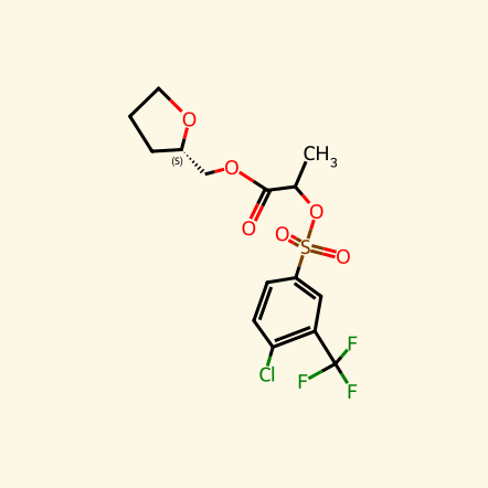 CC(OS(=O)(=O)c1ccc(Cl)c(C(F)(F)F)c1)C(=O)OC[C@@H]1CCCO1